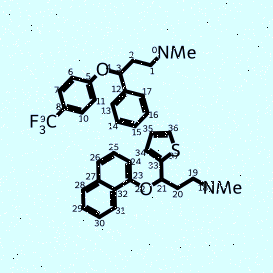 CNCCC(Oc1ccc(C(F)(F)F)cc1)c1ccccc1.CNCCC(Oc1cccc2ccccc12)c1cccs1